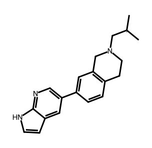 C[C](C)CN1CCc2ccc(-c3cnc4[nH]ccc4c3)cc2C1